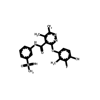 Cc1c(Oc2nnc(C(F)(F)F)c(C)c2C(=O)Nc2cccc(S(C)(=N)=O)c2)ccc(C#N)c1F